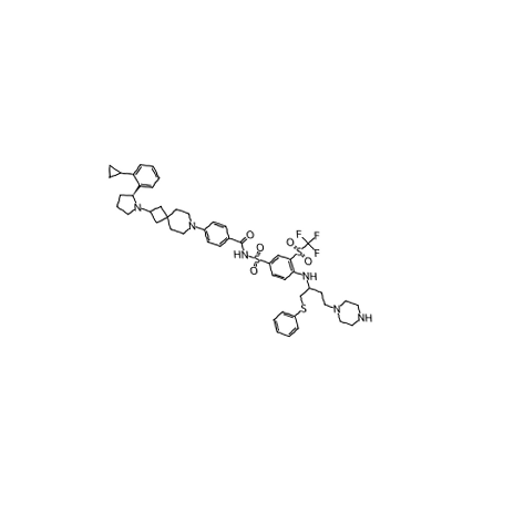 O=C(NS(=O)(=O)c1ccc(NC(CCN2CCNCC2)CSc2ccccc2)c(S(=O)(=O)C(F)(F)F)c1)c1ccc(N2CCC3(CC2)CC(N2CCC[C@H]2c2ccccc2C2CC2)C3)cc1